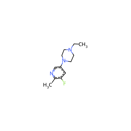 CCN1CCN(c2cnc(C)c(F)c2)CC1